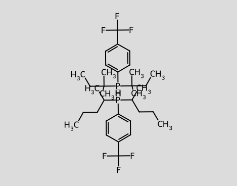 CCCC(C)[PH](c1ccc(C(F)(F)F)cc1)(C(C)CCC)[PH](c1ccc(C(F)(F)F)cc1)(C(C)(C)CC)C(C)(C)CC